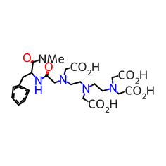 CNC(=O)C(Cc1ccccc1)NC(=O)CN(CCN(CCN(CC(=O)O)CC(=O)O)CC(=O)O)CC(=O)O